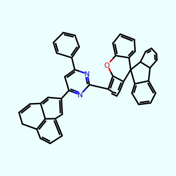 C1=CC2c3ccccc3C3(c4ccccc4Oc4c(-c5nc(-c6ccccc6)cc(-c6cc7c8c(cccc8c6)CC=C7)n5)cccc43)C2C=C1